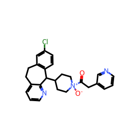 O=C(Cc1cccnc1)[N+]1([O-])CCC(C2c3ccc(Cl)cc3CCc3cccnc32)CC1